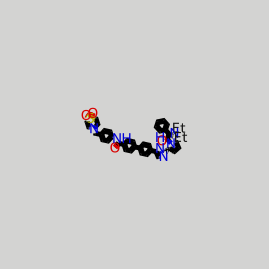 CCN(CC)[C@@H](C(=O)N1CCC[C@@H]1c1ncc(-c2ccc(-c3ccc(C(=O)Nc4ccc(CN5CCS(=O)(=O)CC5)cc4)cc3)cc2)[nH]1)c1ccccc1